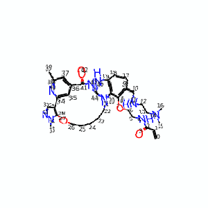 C=CC(=O)NCCOc1c(CNCCN(C)C)ccc2c1N1CCCCCOc3c(cnn3C)-c3cc(cc(C)n3)C(=O)/N=C/1N2